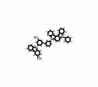 N#Cc1cc(-c2cccc(-n3c4ccc5c(c6ccccc6n5-c5ccccc5)c4c4cccnc43)c2)cc(-n2c3ccccc3c3cc(C#N)ccc32)c1